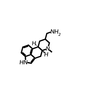 CN1CC(CN)C[C@@H]2c3cccc4[nH]cc(c34)C[C@H]21